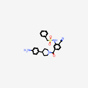 N#Cc1ccc(C(=O)N2CCC(c3ccc(N)cc3)CC2)cc1NS(=O)(=O)Cc1ccccc1